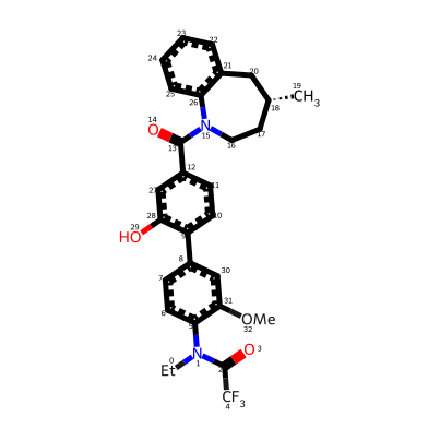 CCN(C(=O)C(F)(F)F)c1ccc(-c2ccc(C(=O)N3CC[C@@H](C)Cc4ccccc43)cc2O)cc1OC